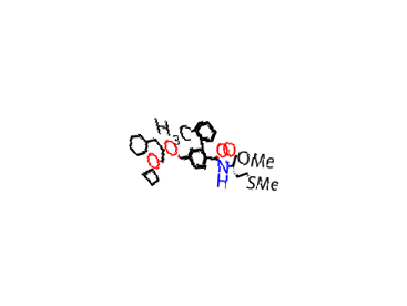 COC(=O)[C@H](CCSC)NC(=O)c1ccc(COC(COC2CCC2)CC2CCCCC2)cc1-c1ccccc1C